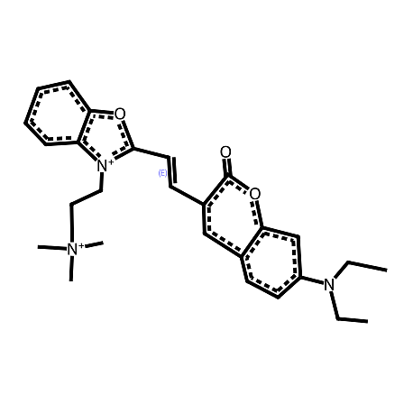 CCN(CC)c1ccc2cc(/C=C/c3oc4ccccc4[n+]3CC[N+](C)(C)C)c(=O)oc2c1